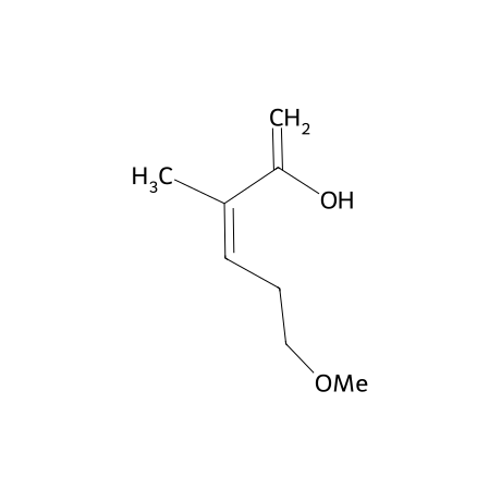 C=C(O)C(C)=CCCOC